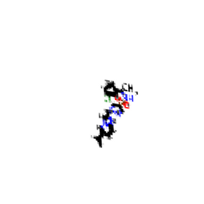 CC(NS(=O)(=O)c1cnn(Cc2cn3cc(C4CC4)ccc3n2)c1)c1cccc(Cl)c1